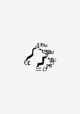 CCC=CCP(C(C)(C)C)C(C)(C)C.CCC=CCP(C(C)(C)C)C(C)(C)C.[Cl][Pd][Cl]